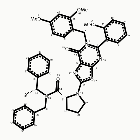 COc1ccc(Cn2c(-c3ccccc3OC)nc3sc(N4CCC[C@@H]4C(=O)N(Cc4ccccc4)[C@H](C)c4ccccc4)nc3c2=O)c(OC)c1